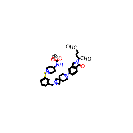 CC(C)(C)OC(=O)NC1CCN(Sc2cccc(CN3CC4(CCN(c5ccc6c(c5)CN(C(C=O)CCC=O)C6=O)CC4)C3)c2)CC1